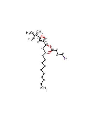 CCCCCCCCCCCCC(OC(=O)CCCI)c1coc([Si](C)(C)C)c1